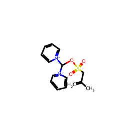 C=C(C)CS(=O)(=O)OC([n+]1ccccc1)[n+]1ccccc1